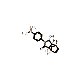 CN(C)c1ccc(N2C(=O)[C@H]3[C@@H]([C@H]2O)[C@H]2C=C[C@@H]3C2)cc1